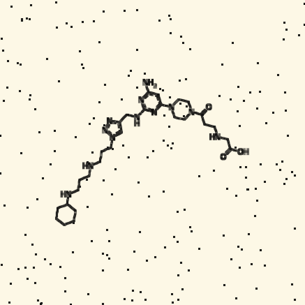 Nc1cc(N2CCN(C(=O)CCNCC(=O)O)CC2)nc(NCc2cn(CCCNCCCNC3CCCCC3)nn2)n1